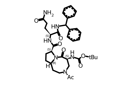 CC(=O)N1CC[C@H]2CC[C@@H](C(=O)N[C@@H](CCC(N)=O)C(=O)NC(c3ccccc3)c3ccccc3)N2C(=O)[C@@H](NC(=O)OC(C)(C)C)C1